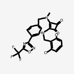 CN(Cc1ccc(-c2noc(C(F)(F)F)n2)cc1)c1c(NCc2c(Cl)cccc2Cl)c(=O)c1=O